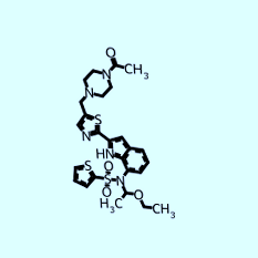 CCOC(C)N(c1cccc2cc(-c3ncc(CN4CCN(C(C)=O)CC4)s3)[nH]c12)S(=O)(=O)c1cccs1